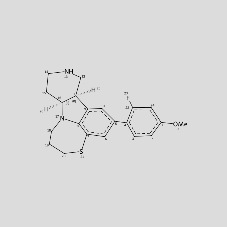 COc1ccc(-c2cc3c4c(c2)[C@@H]2CNCC[C@@H]2N4CCCS3)c(F)c1